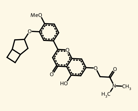 COc1ccc(-c2cc(=O)c3c(O)cc(OCC(=O)N(C)C)cc3o2)cc1OC1CC2CCC2C1